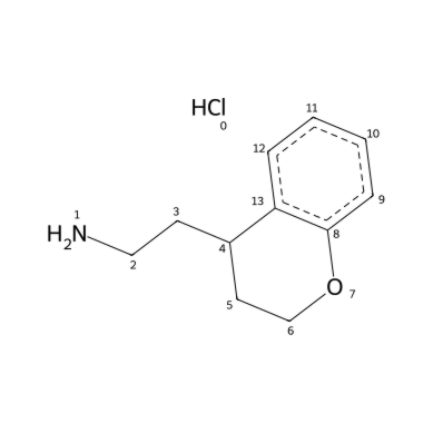 Cl.NCCC1CCOc2ccccc21